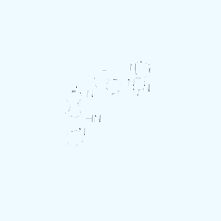 O=C(c1ccc(-n2nnc3cccnc32)cc1F)N(c1nccc2sc(-c3ccccn3)cc12)[C@@H]1CCCNC1